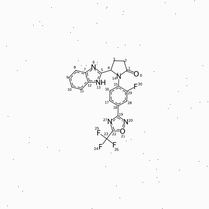 O=C1CCC(c2nc3ccccc3[nH]2)N1c1ccc(-c2noc(C(F)(F)F)n2)cc1F